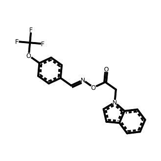 O=C(Cn1ccc2ccccc21)ON=Cc1ccc(OC(F)(F)F)cc1